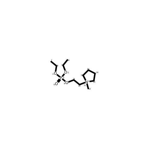 CCOP(=O)(OCC)OCC[N+]1(C)CCCC1